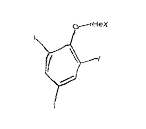 CCCCCCOc1c(I)cc(I)cc1I